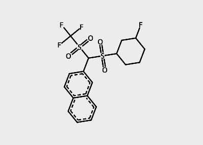 O=S(=O)(C1CCCC(F)C1)C(c1ccc2ccccc2c1)S(=O)(=O)C(F)(F)F